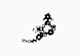 COCCCN1CCC2(CC1)CC(N1C(=O)c3cccc(c3)S(=O)(=O)Nc3nc(cc(-c4c(C)cccc4C)n3)OC[C@H]1CC(C)(C)C(F)(F)F)C2